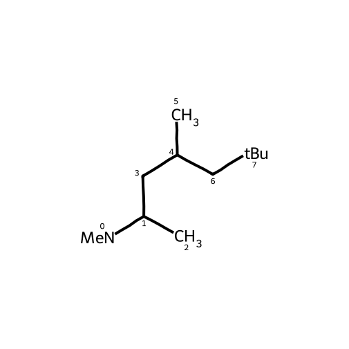 CNC(C)CC(C)CC(C)(C)C